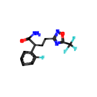 NC(=O)C(CCc1noc(C(F)(F)F)n1)c1ccccc1F